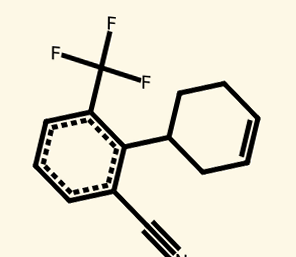 N#Cc1cccc(C(F)(F)F)c1C1CC=CCC1